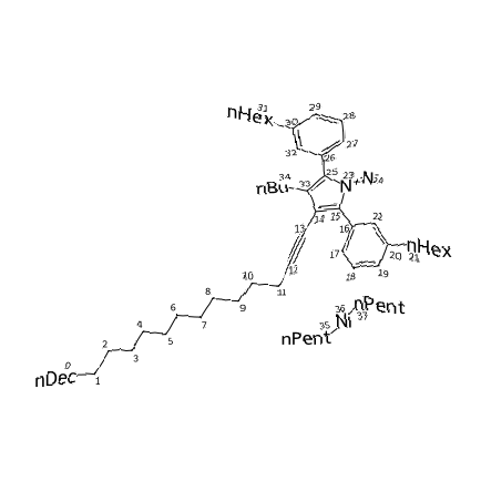 CCCCCCCCCCCCCCCCCCCCCC#CC1=C(c2cccc(CCCCCC)c2)[N+](=[N-])C(c2cccc(CCCCCC)c2)=C1CCCC.CCCC[CH2][Ni][CH2]CCCC